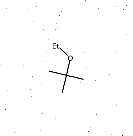 [CH2]COC(C)(C)C